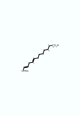 CCCCCCC=CCC=CCCCCCCC(=O)O